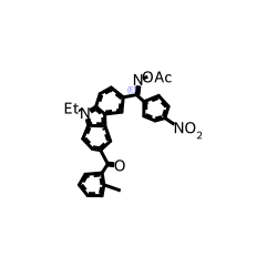 CCn1c2ccc(C(=O)c3ccccc3C)cc2c2cc(/C(=N/OC(C)=O)c3ccc([N+](=O)[O-])cc3)ccc21